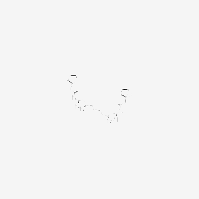 O=C(Cc1ccco1)Nc1nnc(CCCCc2nnc(NC(=O)Cc3ccco3)s2)s1